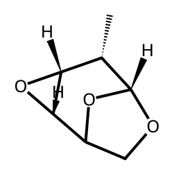 C[C@@H]1[C@@H]2OCC(O2)[C@@H]2O[C@H]12